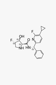 O=C(N[C@@H](c1ccccc1)c1ccc(C2CC2)c(F)n1)[C@H]1NC[C@H](F)[C@H]1O